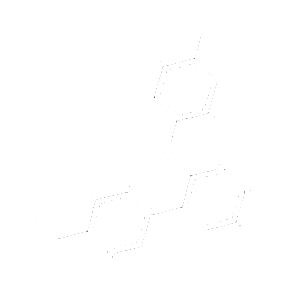 C=Cc1ccc(-c2cccnc2Oc2ccc(C(F)(F)F)cc2)cn1